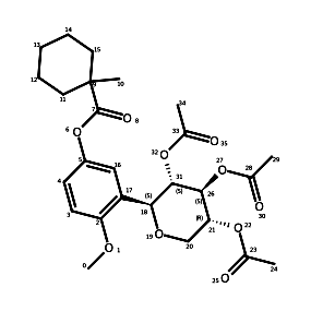 COc1ccc(OC(=O)C2(C)CCCCC2)cc1[C@@H]1OC[C@@H](OC(C)=O)[C@H](OC(C)=O)[C@H]1OC(C)=O